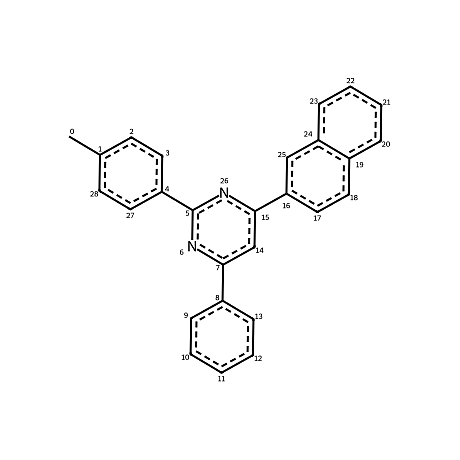 Cc1ccc(-c2nc(-c3ccccc3)cc(-c3ccc4ccccc4c3)n2)cc1